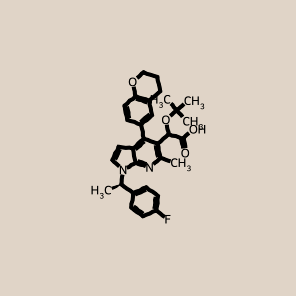 Cc1nc2c(ccn2[C@H](C)c2ccc(F)cc2)c(-c2ccc3c(c2)CCCO3)c1C(OC(C)(C)C)C(=O)O